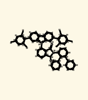 Cc1cc(C)c(-c2ccc3c4ccc(-c5c(C)cc(C)cc5C)cc4n(-c4cccc5c4C(=O)N(c4cccc(-c6ccccc6)c4-c4ccccc4)C5O)c3c2)c(C)c1